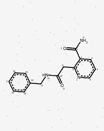 NC(=O)c1cccnc1[CH]C(=O)NCc1ccccc1